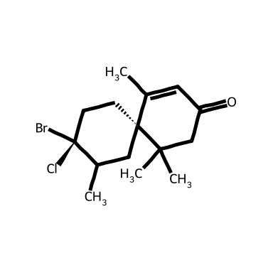 CC1=CC(=O)CC(C)(C)[C@]12CC[C@@](Cl)(Br)C(C)C2